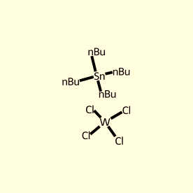 CCC[CH2][Sn]([CH2]CCC)([CH2]CCC)[CH2]CCC.[Cl][W]([Cl])([Cl])[Cl]